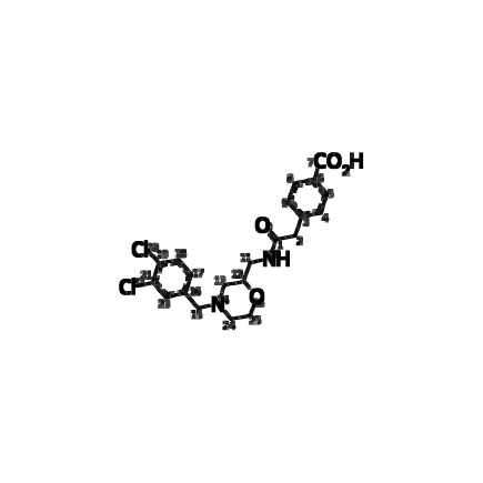 O=C(Cc1ccc(C(=O)O)cc1)NCC1CN(Cc2ccc(Cl)c(Cl)c2)CCO1